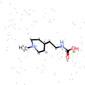 CN1CCC(CCNC(=O)O)CC1